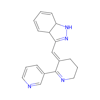 C1=CC2NN=C(/C=C3\CCCN=C3c3cccnc3)C2C=C1